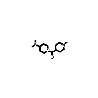 CN1CCC(C(=O)N2CCC(N(C)C)CC2)CC1